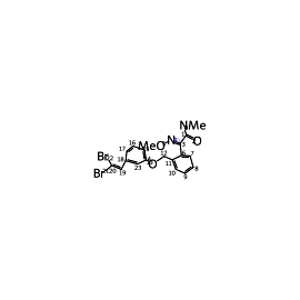 CNC(=O)/C(=N/OC)c1ccccc1COc1cccc(C=C(Br)Br)c1